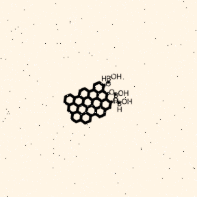 OBOC1CCC2C3CCC4C5CCCC6CC7CCC8CCC9C%10CCC%11CC(OBO)C%12C(OBO)C1C2C1C%12C%11C%10C2C%10C9C8C7C(C65)C%10C4C3C12